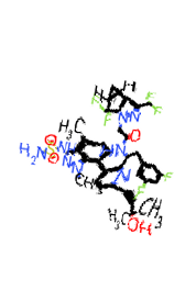 Cc1ccc(-c2ccc(C#CC(C)(C)O)nc2C(Cc2cc(F)cc(F)c2)NC(=O)Cn2nc(C(F)F)c3c2C(F)(F)[C@@H]2C[C@H]32)c2c1c(NS(N)(=O)=O)nn2C